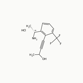 CC(O)C#Cc1c([C@@H](C)N)cccc1C(F)(F)F.Cl